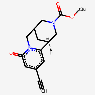 C#Cc1cc2n(c(=O)c1)CC1C[C@H]2CN(C(=O)OC(C)(C)C)C1